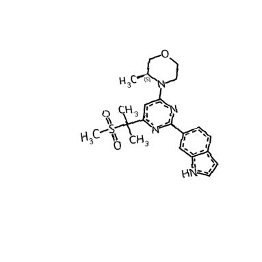 C[C@H]1COCCN1c1cc(C(C)(C)S(C)(=O)=O)nc(-c2ccc3cc[nH]c3c2)n1